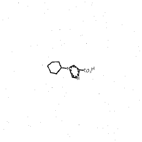 O=C(O)c1cn(C2CCCCC2)cn1